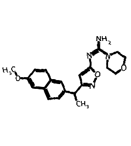 COc1ccc2cc(C(C)c3cc(/N=C(/N)N4CCOCC4)on3)ccc2c1